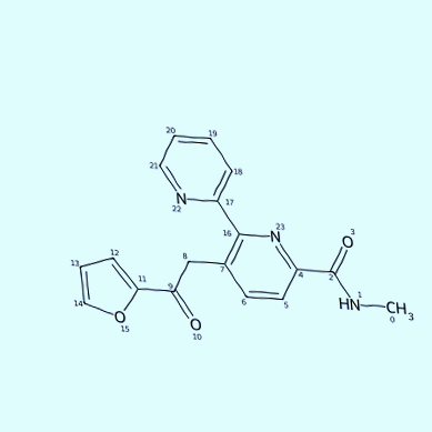 CNC(=O)c1ccc(CC(=O)c2ccco2)c(-c2ccccn2)n1